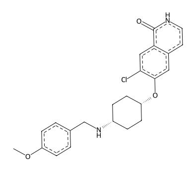 COc1ccc(CN[C@H]2CC[C@@H](Oc3cc4cc[nH]c(=O)c4cc3Cl)CC2)cc1